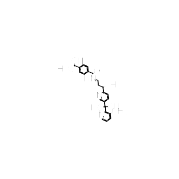 Cc1cccnc1C(C)(C)c1ccc(C(C)CCNC(=O)c2ccc(C(C)C)cc2)nc1